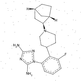 Nc1nc(N)n(-c2cccc(F)c2C2CCN([C@H]3C[C@@H]4CC[C@H]3C4)CC2)n1